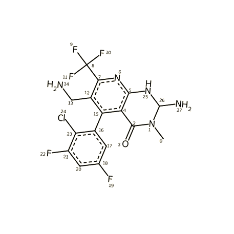 CN1C(=O)c2c(nc(C(F)(F)F)c(CN)c2-c2cc(F)cc(F)c2Cl)NC1N